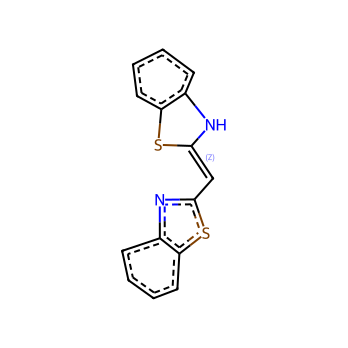 C(=C1\Nc2ccccc2S1)/c1nc2ccccc2s1